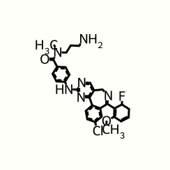 COC1=C(C2=NCc3cnc(Nc4ccc(C(=O)N(C)CCCN)cc4)nc3-c3ccc(Cl)cc32)C(F)CC=C1